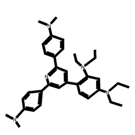 CCN(CC)c1ccc(-c2cc(-c3ccc(N(C)C)cc3)nc(-c3ccc(N(C)C)cc3)c2)c(N(CC)CC)c1